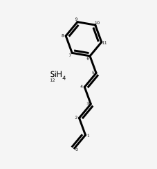 C=CC=CC=Cc1ccccc1.[SiH4]